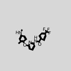 CNc1ccc(Oc2cccc(NC(=O)c3ccc(C(F)(F)F)cc3)n2)c(C)c1